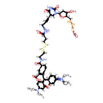 CN(C)c1ccc2c(-c3ccc(C(=O)NCCSSCCC(=O)NCC#Cc4cn(C5CC(O)C(CPPP=O)O5)c(=O)[nH]c4=O)cc3C(=O)O)c3ccc(=[N+](C)C)cc-3oc2c1